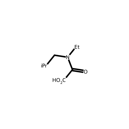 CCN(CC(C)C)C(=O)C(=O)O